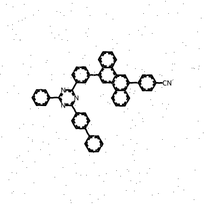 N#Cc1ccc(-c2cc3c4ccccc4c(-c4cccc(-c5nc(-c6ccccc6)nc(-c6ccc(-c7ccccc7)cc6)n5)c4)cc3c3ccccc23)cc1